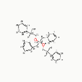 CC(C)(C[O][Hf]([CH2]c1ccccc1)([CH2]c1ccccc1)[O]CC(C)(C)c1ccccc1)c1ccccc1